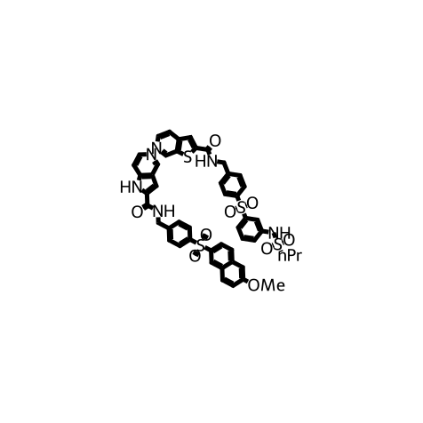 CCCS(=O)(=O)Nc1cccc(S(=O)(=O)c2ccc(CNC(=O)c3cc4ccncc4s3)cc2)c1.COc1ccc2cc(S(=O)(=O)c3ccc(CNC(=O)c4cc5cnccc5[nH]4)cc3)ccc2c1